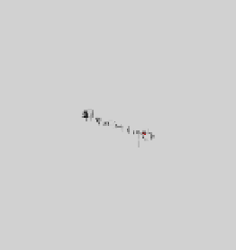 CC(C)(C)OC(=O)NCCOCCOCCOCCOCCCOS(C)(=O)=O